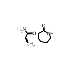 C=CC(N)=O.O=C1CCCCCN1